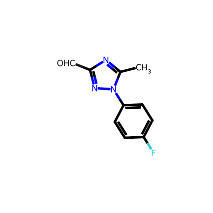 Cc1nc(C=O)nn1-c1ccc(F)cc1